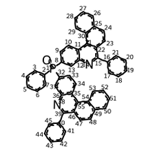 O=P(c1ccccc1)(c1ccc2c(c1)nc(-c1ccccc1)c1ccc3ccccc3c12)c1ccc2c(c1)nc(-c1ccccc1)c1ccc3ccccc3c12